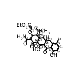 CCOC(=O)COC1C(C(N)=O)C(=O)[C@@]2(O)C(O)=C3C(=O)c4c(O)ccc(I)c4C[C@H]3C[C@H]2[C@@H]1N(C)C